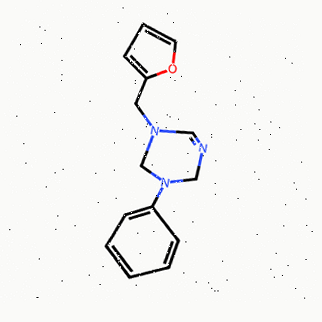 C1=NCN(c2ccccc2)CN1Cc1ccco1